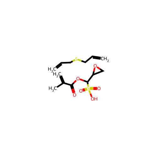 C=C(C)C(=O)OC(C1CO1)S(=O)(=O)O.C=CCSCC=C